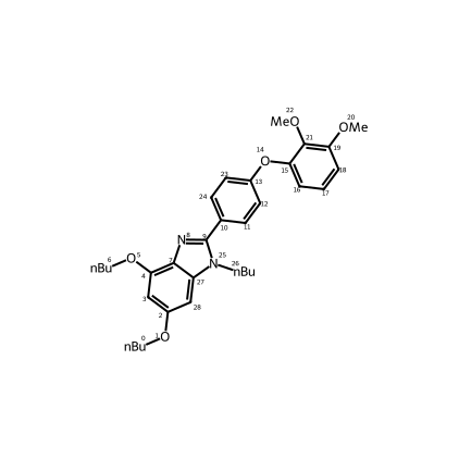 CCCCOc1cc(OCCCC)c2nc(-c3ccc(Oc4cccc(OC)c4OC)cc3)n(CCCC)c2c1